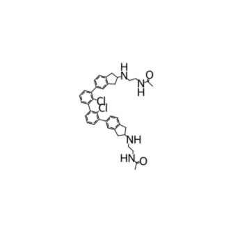 CC(=O)NCCNC1Cc2ccc(-c3cccc(-c4cccc(-c5ccc6c(c5)CC(NCCNC(C)=O)C6)c4Cl)c3Cl)cc2C1